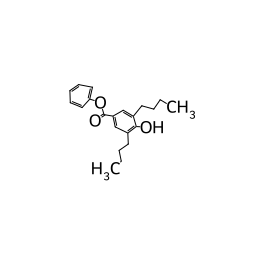 CCCCc1cc(C(=O)Oc2ccccc2)cc(CCCC)c1O